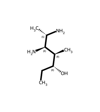 CC[C@@H](O)[C@H](C)[C@@H](N)[C@H](C)N